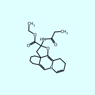 CCOC(=O)C1(NC(=O)CC)CC23CCCCC2=CN2C=CCCC2=C3O1